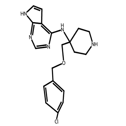 Clc1ccc(COCC2(Nc3ncnc4[nH]ccc34)CCNCC2)cc1